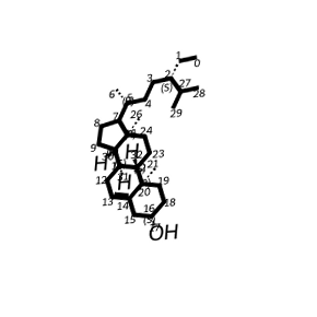 CC[C@@H](CC[C@@H](C)C1CC[C@H]2[C@@H]3CC=C4C[C@@H](O)CC[C@]4(C)[C@H]3CC[C@]12C)C(C)C